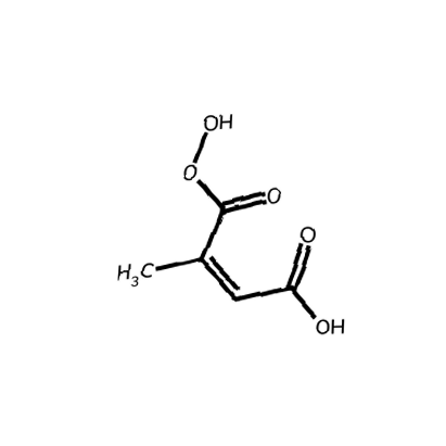 CC(=CC(=O)O)C(=O)OO